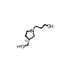 OCCCN1CC[C@H](CO)C1